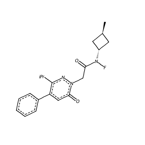 CC(C)c1nn(CC(=O)N(F)[C@H]2C[C@H](C)C2)c(=O)cc1-c1ccccc1